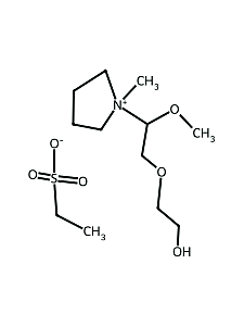 CCS(=O)(=O)[O-].COC(COCCO)[N+]1(C)CCCC1